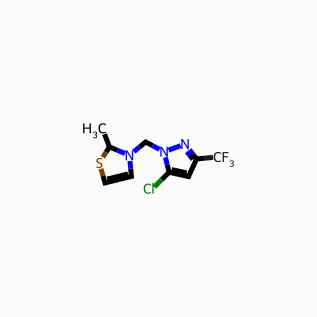 CC1SC=CN1Cn1nc(C(F)(F)F)cc1Cl